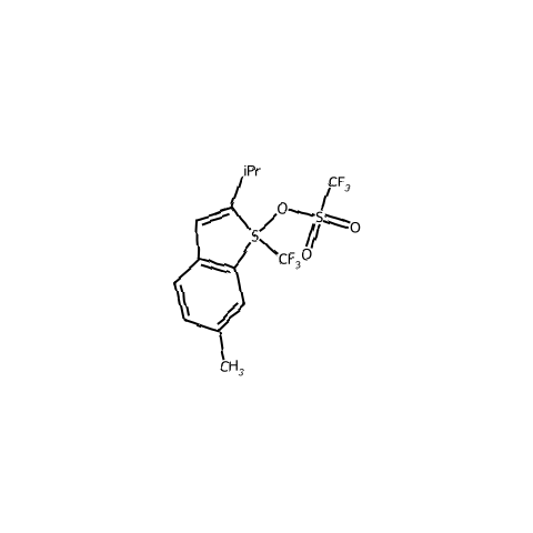 Cc1ccc2c(c1)S(OS(=O)(=O)C(F)(F)F)(C(F)(F)F)C(C(C)C)=C2